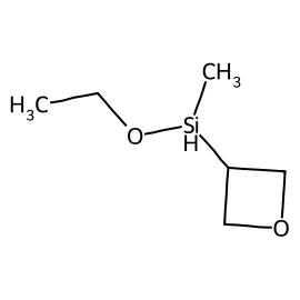 CCO[SiH](C)C1COC1